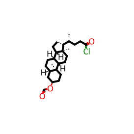 C[C@H](CCC(=O)Cl)[C@H]1CC[C@H]2[C@@H]3CC[C@@H]4C[C@H](OC=O)CC[C@]4(C)[C@H]3CC[C@]12C